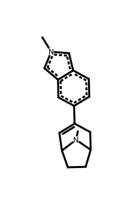 CN1C2C=C(c3ccc4cn(C)cc4c3)CC1CC2